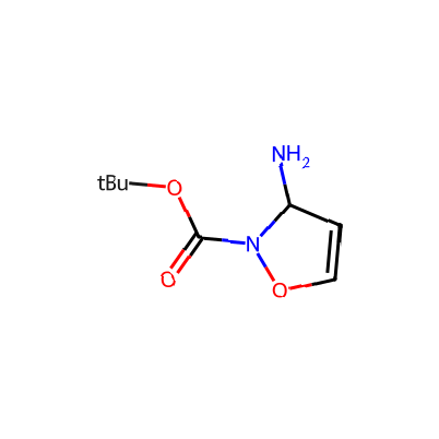 CC(C)(C)OC(=O)N1OC=CC1N